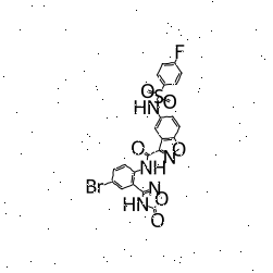 O=C(Nc1ccc(Br)cc1-c1noc(=O)[nH]1)c1noc2ccc(NS(=O)(=O)c3ccc(F)cc3)cc12